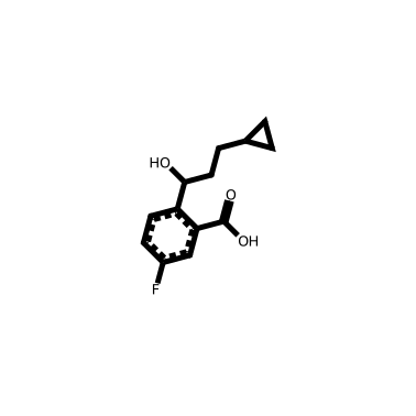 O=C(O)c1cc(F)ccc1C(O)CCC1CC1